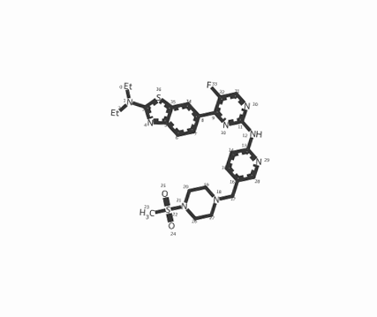 CCN(CC)c1nc2ccc(-c3nc(Nc4ccc(CN5CCN(S(C)(=O)=O)CC5)cn4)ncc3F)cc2s1